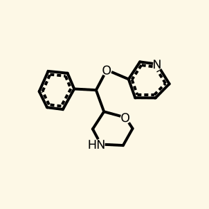 c1ccc(C(Oc2cccnc2)C2CNCCO2)cc1